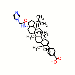 C=C(C)[C@@H]1CC[C@]2(NC(=O)Cn3ccnc3)CC[C@]3(C)[C@H](CCC4[C@@]5(C)CC=C(c6ccc(C(=O)O)cc6)C(C)(C)C5CC[C@]43C)C12